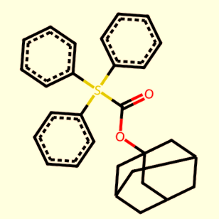 O=C(OC12CC3CC(CC(C3)C1)C2)S(c1ccccc1)(c1ccccc1)c1ccccc1